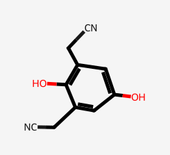 N#CCc1cc(O)cc(CC#N)c1O